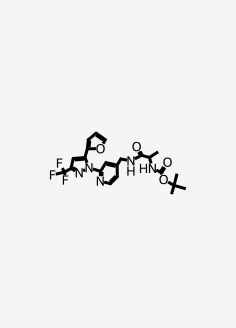 CC(NC(=O)OC(C)(C)C)C(=O)NCc1ccnc(-n2nc(C(F)(F)F)cc2-c2ccco2)c1